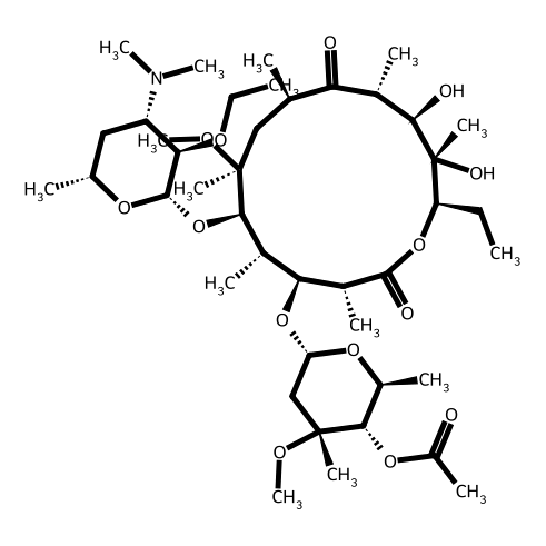 CCO[C@H]1[C@H](O[C@@H]2[C@@H](C)[C@H](O[C@H]3C[C@@](C)(OC)[C@@H](OC(C)=O)[C@H](C)O3)[C@@H](C)C(=O)O[C@H](CC)[C@@](C)(O)[C@H](O)[C@@H](C)C(=O)[C@H](C)C[C@]2(C)OC)O[C@H](C)C[C@@H]1N(C)C